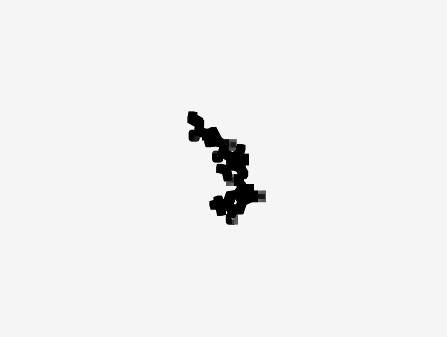 C/C=C/C(=O)N1CC(NC(=O)c2c(C)nc(CNc3n[nH]c4cc(Cl)c(C(C)(C)C)cc34)n2C(C)C)C1